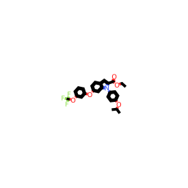 CCOC(=O)c1cc2ccc(Oc3cccc(OC(F)(F)F)c3)cc2n1-c1ccc(OC(C)C)cc1